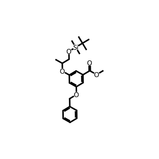 COC(=O)c1cc(OCc2ccccc2)cc(OC(C)CO[Si](C)(C)C(C)(C)C)c1